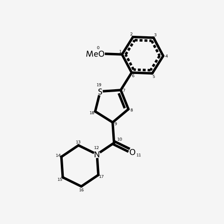 COc1ccccc1C1=CC(C(=O)N2CCCCC2)CS1